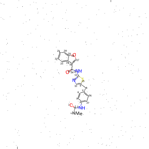 CNC(=O)Nc1ccc(Cc2cnc(NC(=O)c3coc4ccccc34)s2)cc1